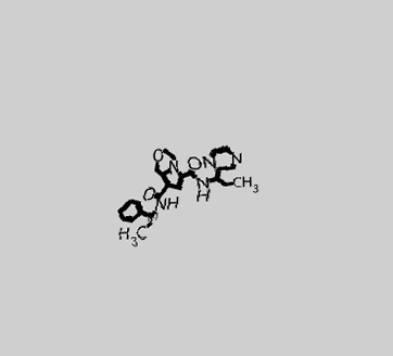 CCC(NC(=O)c1cc(C(=O)N[C@H](CC)c2ccccc2)c2n1CCOC2)c1cnccn1